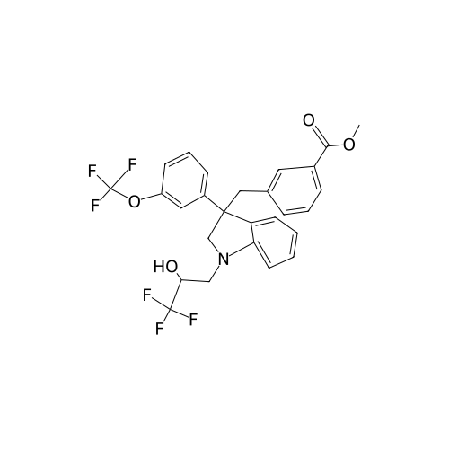 COC(=O)c1cccc(CC2(c3cccc(OC(F)(F)F)c3)CN(CC(O)C(F)(F)F)c3ccccc32)c1